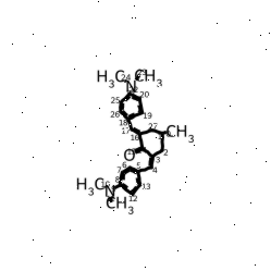 CC1CC(=Cc2ccc(N(C)C)cc2)C(=O)C(=Cc2ccc(N(C)C)cc2)C1